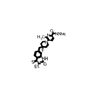 CCn1c(=O)[nH]c2cc(CC3(F)CCN(c4ccc(C(=O)NC)nc4C)CC3)ccc2c1=S